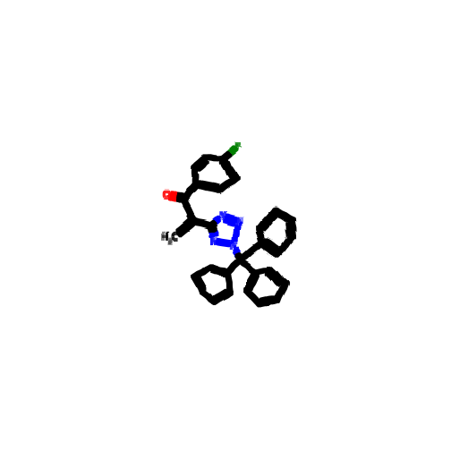 C=C(C(=O)c1ccc(F)cc1)c1nnn(C(c2ccccc2)(c2ccccc2)c2ccccc2)n1